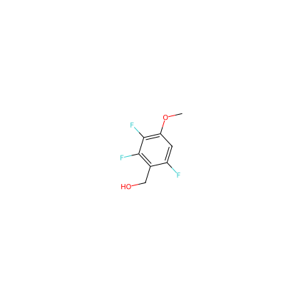 COc1cc(F)c(CO)c(F)c1F